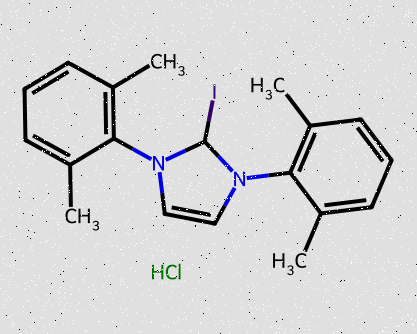 Cc1cccc(C)c1N1C=CN(c2c(C)cccc2C)C1I.Cl